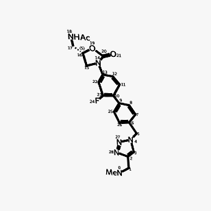 CNCc1cn(Cc2ccc(-c3ccc(N4C[C@H](CNC(C)=O)OC4=O)cc3F)cc2)nn1